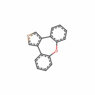 c1ccc2c(c1)Oc1ccccc1-c1cscc1-2